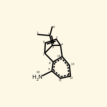 CC(C)=C1C2C=CC1c1c(N)cccc12